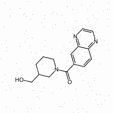 O=C(c1ccc2nccnc2c1)N1CCCC(CO)C1